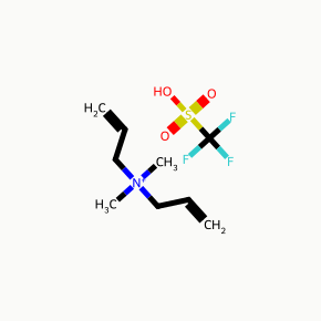 C=CC[N+](C)(C)CC=C.O=S(=O)(O)C(F)(F)F